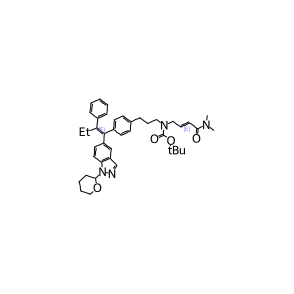 CC/C(=C(/c1ccc(CCCN(C/C=C/C(=O)N(C)C)C(=O)OC(C)(C)C)cc1)c1ccc2c(cnn2C2CCCCO2)c1)c1ccccc1